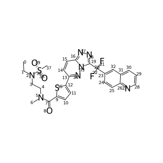 CCN(CCN(C)C(=O)c1ccc(-c2ccc3nnc(C(F)(F)c4ccc5ncccc5c4)n3n2)s1)S(C)(=O)=O